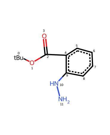 CC(C)(C)OC(=O)c1ccccc1NN